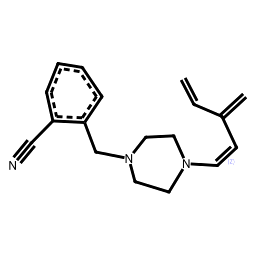 C=CC(=C)/C=C\N1CCN(Cc2ccccc2C#N)CC1